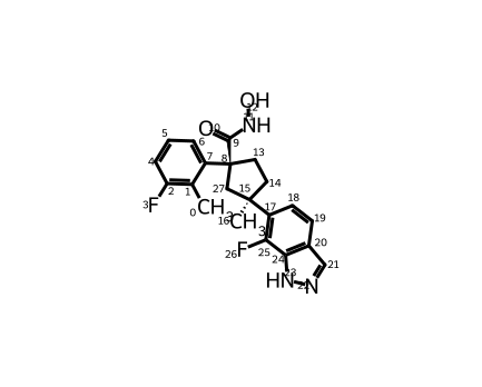 Cc1c(F)cccc1[C@]1(C(=O)NO)CC[C@@](C)(c2ccc3cn[nH]c3c2F)C1